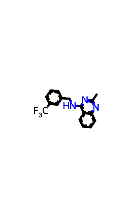 Cc1nc(NCc2cccc(C(F)(F)F)c2)c2ccccc2n1